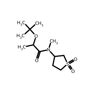 CC(OC(C)(C)C)C(=O)N(C)C1CCS(=O)(=O)C1